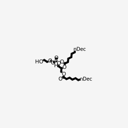 CCCCCCCCCCCCCCCC(=O)OCC(CO[PH](=O)OOCCO)OC(=O)CCCCCCCCCCCCCCC